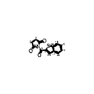 O=C1CCC(=O)N1C(=O)c1cc2ccccc2s1